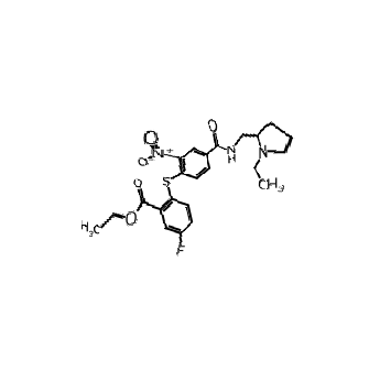 CCOC(=O)c1cc(F)ccc1Sc1ccc(C(=O)NCC2CCCN2CC)cc1[N+](=O)[O-]